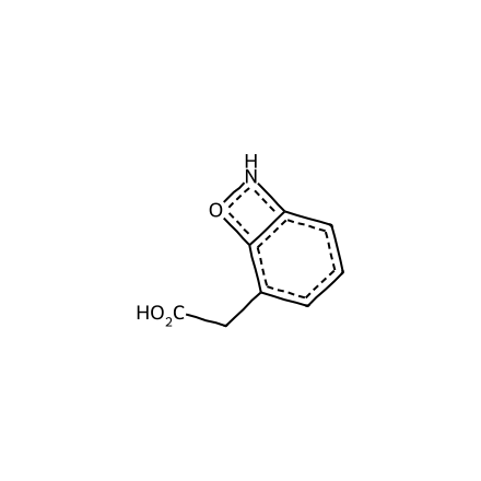 O=C(O)Cc1cccc2[nH]oc12